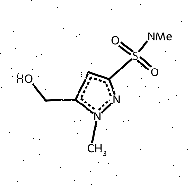 CNS(=O)(=O)c1cc(CO)n(C)n1